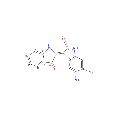 Nc1cc2c(cc1Br)NC(=O)/C2=C1\Nc2ccccc2C1=O